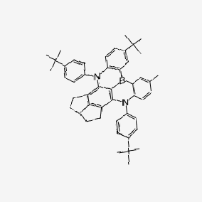 Cc1ccc2c(c1)B1c3cc(C(C)(C)C)ccc3N(c3ccc(C(C)(C)C)cc3)c3c4c5c(c(c31)N2c1ccc(C(C)(C)C)cc1)CCC5CC4